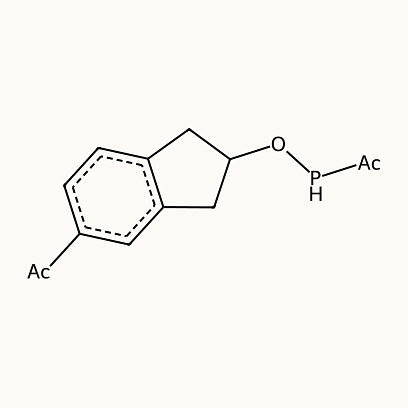 CC(=O)POC1Cc2ccc(C(C)=O)cc2C1